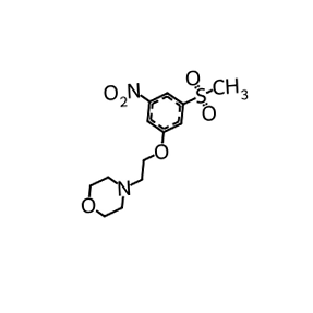 CS(=O)(=O)c1cc(OCCN2CCOCC2)cc([N+](=O)[O-])c1